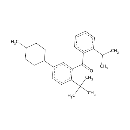 CC1CCC(c2ccc(C(C)(C)C)c(C(=O)c3ccccc3C(C)C)c2)CC1